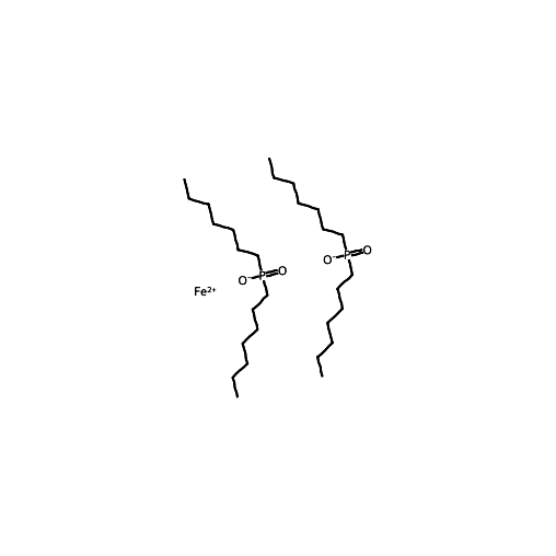 CCCCCCCP(=O)([O-])CCCCCCC.CCCCCCCP(=O)([O-])CCCCCCC.[Fe+2]